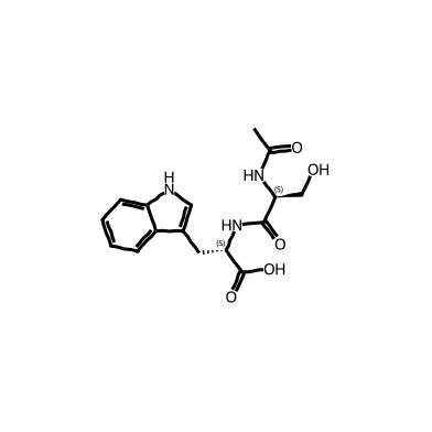 CC(=O)N[C@@H](CO)C(=O)N[C@@H](Cc1c[nH]c2ccccc12)C(=O)O